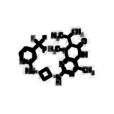 Cc1nc(N[C@H]2C[C@@H](Nc3cc(C(F)(F)F)ccn3)C2)nc2c1NC(=O)C(C(C)C)N2C